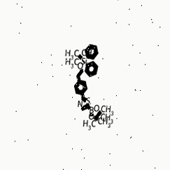 CC1(C)OB(c2cnc(-c3ccc(CCO[Si](c4ccccc4)(c4ccccc4)C(C)(C)C)cc3)s2)OC1(C)C